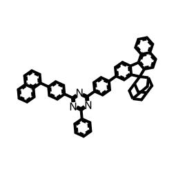 c1ccc(-c2nc(-c3ccc(-c4ccc5c(c4)C4(c6ccc7ccccc7c6-5)C5CC6CC(C5)CC4C6)cc3)nc(-c3ccc(-c4cccc5ccccc45)cc3)n2)cc1